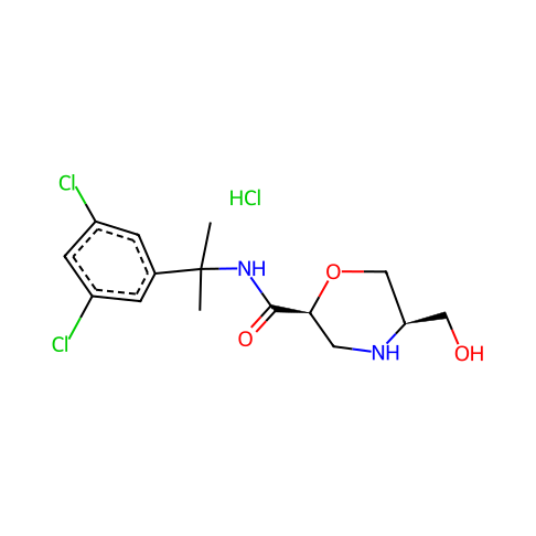 CC(C)(NC(=O)[C@@H]1CN[C@H](CO)CO1)c1cc(Cl)cc(Cl)c1.Cl